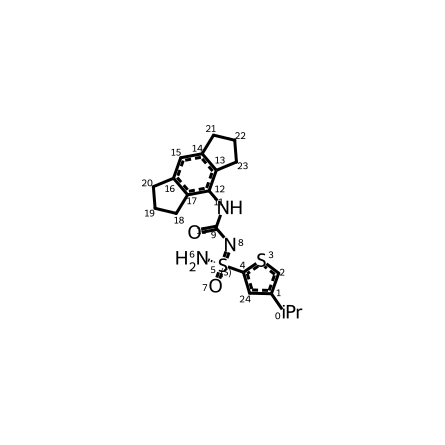 CC(C)c1csc([S@@](N)(=O)=NC(=O)Nc2c3c(cc4c2CCC4)CCC3)c1